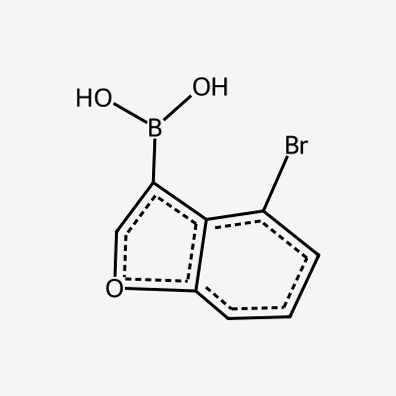 OB(O)c1coc2cccc(Br)c12